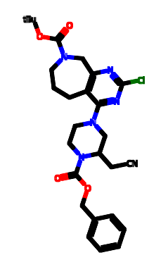 CC(C)(C)OC(=O)N1CCCc2c(nc(Cl)nc2N2CCN(C(=O)OCc3ccccc3)C(CC#N)C2)C1